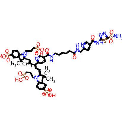 CC1(C)C(=CC=C(/C=C/C2=[N+](CCCS(=O)(=O)O)c3ccc(S(=O)(=O)O)cc3C2(C)C)c2ccc(C(=O)NCCCCCC(=O)NCc3ccc(C(=O)Nc4nnc(S(N)(=O)=O)s4)cn3)cn2)N(CCCS(=O)(=O)O)c2ccc(S(=O)(=O)O)cc21